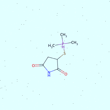 C[PH](C)(C)SC1CC(=O)NC1=O